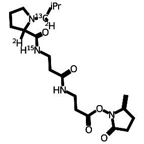 [2H][13CH]([13CH]([13CH3])[13CH3])N1CCCC1([2H])C(=O)[15NH]CCC(=O)NCCC(=O)ON1C(=C)CCC1=O